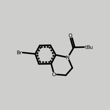 CC(C)(C)C(=O)N1CCOc2cc(Br)ccc21